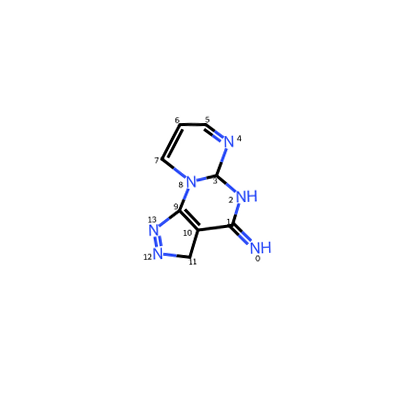 N=C1NC2N=CC=CN2C2=C1CN=N2